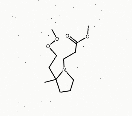 COOCCC1(C)CCCN1CCC(=O)OC